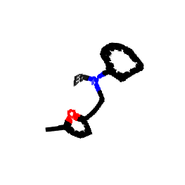 CCN(Cc1ccc(C)o1)c1ccccc1